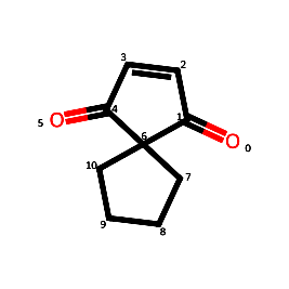 O=C1C=CC(=O)C12CCCC2